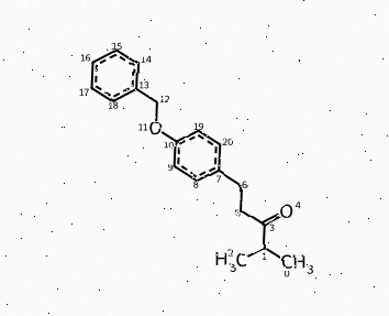 CC(C)C(=O)CCc1ccc(OCc2ccccc2)cc1